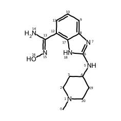 CN1CCC(Nc2nc3cccc(C(N)=NO)c3[nH]2)CC1